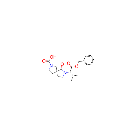 CC(C)[C@@H](C(=O)OCc1ccccc1)N1CC[C@@]2(CCN(C(=O)O)C2)C1=O